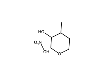 CC1CCOCC1O.O=[N+]([O-])O